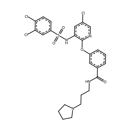 O=C(NCCCN1CCCC1)c1cccc(Oc2ncc(Cl)cc2NS(=O)(=O)c2ccc(Cl)c(Cl)c2)c1